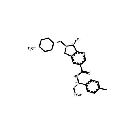 COC[C@H](NC(=O)c1cnc2c(c1)CN(C[C@H]1CC[C@@H](C(F)(F)F)CC1)[C@H]2C(C)C)c1ccc(C)cc1